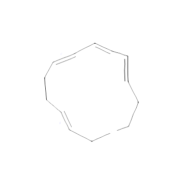 C1=C\C=C\CCCC/C=C/CC/C=C/1